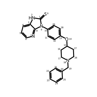 S=c1[nH]c2cccnc2n1-c1ccc(OC2CCN(Cc3ccccc3)CC2)cc1